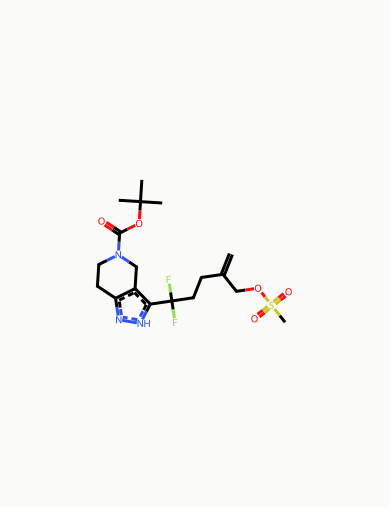 C=C(CCC(F)(F)c1[nH]nc2c1CN(C(=O)OC(C)(C)C)CC2)COS(C)(=O)=O